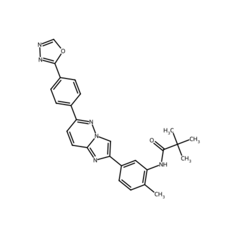 Cc1ccc(-c2cn3nc(-c4ccc(-c5nnco5)cc4)ccc3n2)cc1NC(=O)C(C)(C)C